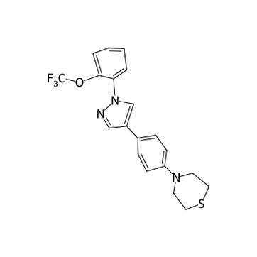 FC(F)(F)Oc1ccccc1-n1cc(-c2ccc(N3CCSCC3)cc2)cn1